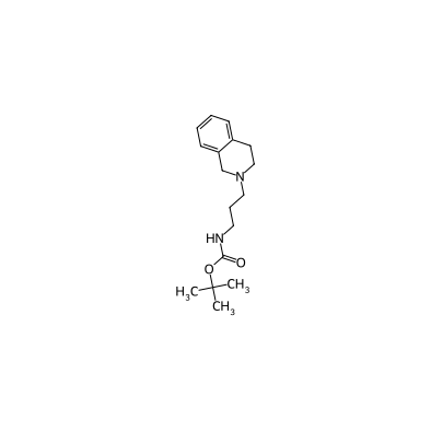 CC(C)(C)OC(=O)NCCCN1CCc2ccccc2C1